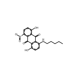 CCCCCNc1ccc(O)c2c1C(=O)c1c(O)ccc([N+](=O)[O-])c1C2=O